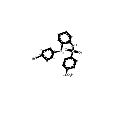 O=C(O)c1ccc(S(=O)(=O)Nc2ccccc2Oc2ccc(Br)cc2)cc1